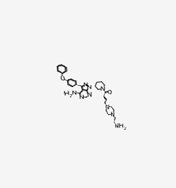 NCCN1CCN(C/C=C/C(=O)N2CCC[C@@H](n3nc(-c4ccc(Oc5ccccc5)cc4)c4c(N)ncnc43)C2)CC1